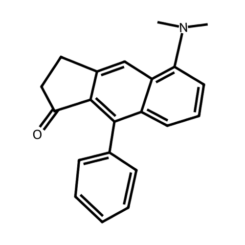 CN(C)c1cccc2c(-c3ccccc3)c3c(cc12)CCC3=O